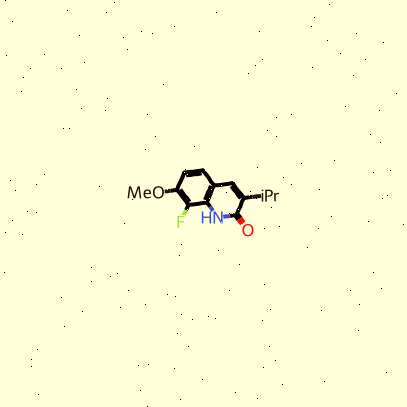 COc1ccc2cc(C(C)C)c(=O)[nH]c2c1F